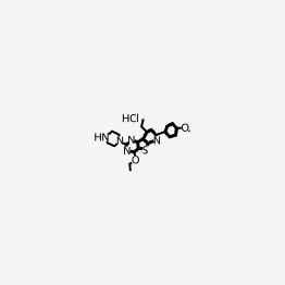 CCOc1nc(N2CCNCC2)nc2c1sc1nc(-c3ccc(OC)cc3)cc(CC)c12.Cl